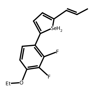 CC=CC1=CC=C(c2ccc(OCC)c(F)c2F)[SeH2]1